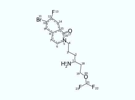 NC(CCCn1ccc2cc(Br)c(F)cc2c1=O)CCOC(F)F